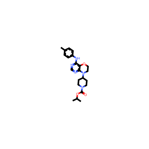 Cc1ccc(Nc2ncnc3c2OCCN3C2CCN(C(=O)OC(C)C)CC2)cc1